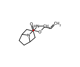 C=CCOC(=O)N1C2CCC1CC(NC)C2